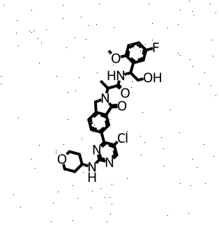 COc1ccc(F)cc1C(CO)NC(=O)C(C)N1Cc2ccc(-c3nc(NC4CCOCC4)ncc3Cl)cc2C1=O